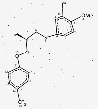 COc1ccc(SC[C@H](C)COc2ccc(C(F)(F)F)cc2)cc1C